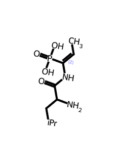 C/C=C(/NC(=O)C(N)CC(C)C)P(=O)(O)O